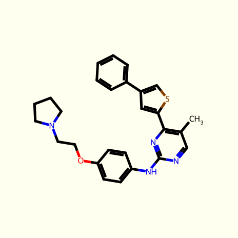 Cc1cnc(Nc2ccc(OCCN3CCCC3)cc2)nc1-c1cc(-c2ccccc2)cs1